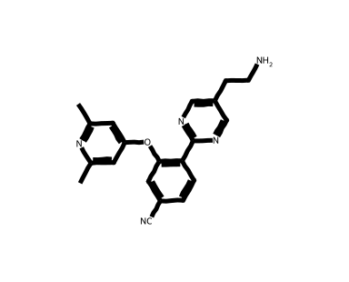 Cc1cc(Oc2cc(C#N)ccc2-c2ncc(CCN)cn2)cc(C)n1